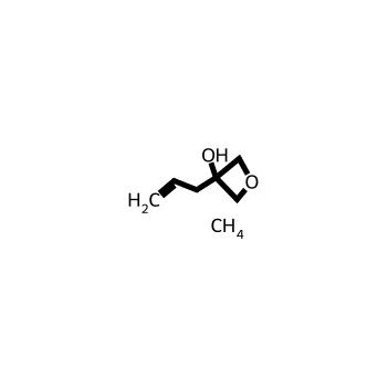 C.C=CCC1(O)COC1